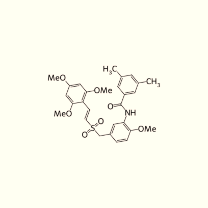 COc1cc(OC)c(/C=C/S(=O)(=O)Cc2ccc(OC)c(NC(=O)c3cc(C)cc(C)c3)c2)c(OC)c1